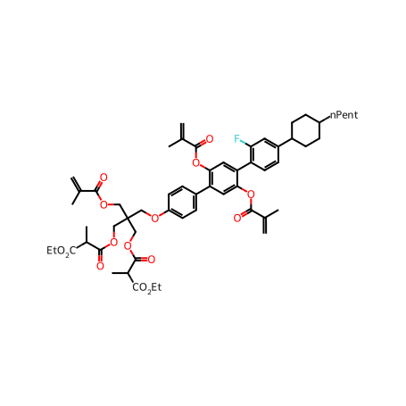 C=C(C)C(=O)OCC(COC(=O)C(C)C(=O)OCC)(COC(=O)C(C)C(=O)OCC)COc1ccc(-c2cc(OC(=O)C(=C)C)c(-c3ccc(C4CCC(CCCCC)CC4)cc3F)cc2OC(=O)C(=C)C)cc1